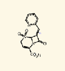 O=C(O)C1=CCS(=O)(=O)C2/C(=C\c3ccccn3)C(=O)N12